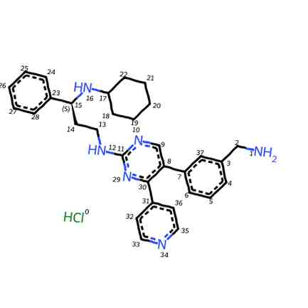 Cl.NCc1cccc(-c2cnc(NCC[C@H](NC3CCCCC3)c3ccccc3)nc2-c2ccncc2)c1